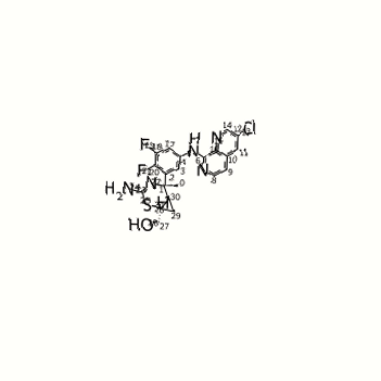 C[C@]1(c2cc(Nc3nccc4cc(Cl)cnc34)cc(F)c2F)N=C(N)S[C@]2(CO)C[C@H]21